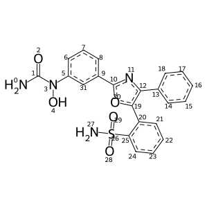 NC(=O)N(O)c1cccc(-c2nc(-c3ccccc3)c(-c3ccccc3S(N)(=O)=O)o2)c1